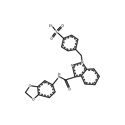 CCS(=O)(=O)c1ccc(Cn2nc(C(=O)Nc3ccc4c(c3)OCO4)c3ccccc32)cc1